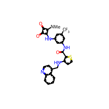 CNc1c(Nc2cc(NC(=O)c3sccc3NCc3ccnc4ccccc34)cc(C(F)(F)F)c2)c(=O)c1=O